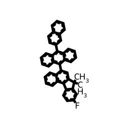 CC1(C)c2cc(F)ccc2-c2c1cc(-c1c3ccccc3c(-c3ccc4ccccc4c3)c3ccccc13)c1ccccc21